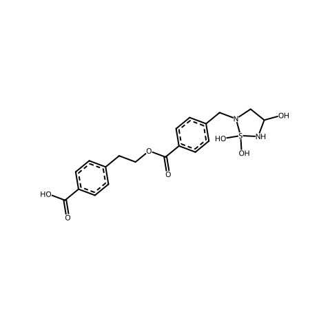 O=C(O)c1ccc(CCOC(=O)c2ccc(CN3CC(O)NS3(O)O)cc2)cc1